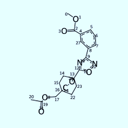 COC(=O)c1cccc(-c2noc(C34CCC(COC(C)=O)(CC3)CO4)n2)c1